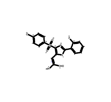 CCC/C(C=O)=C/c1sc(-c2ccccc2F)nc1S(=O)(=O)c1ccc(Cl)cc1